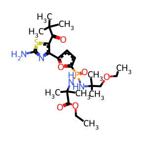 CCOCC(C)(C)NP(=O)(NC(C)(C)C(=O)OCC)c1ccc(-c2nc(N)sc2C(=O)C(C)(C)C)o1